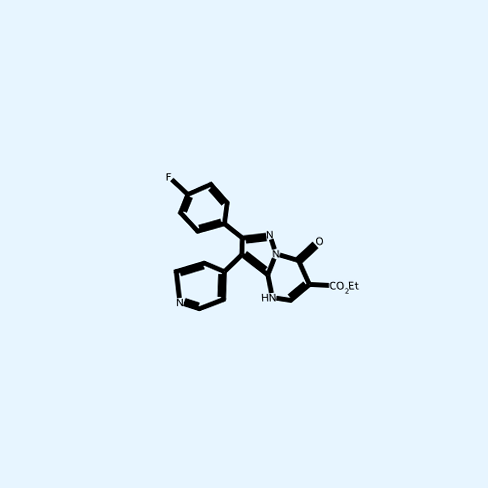 CCOC(=O)c1c[nH]c2c(-c3ccncc3)c(-c3ccc(F)cc3)nn2c1=O